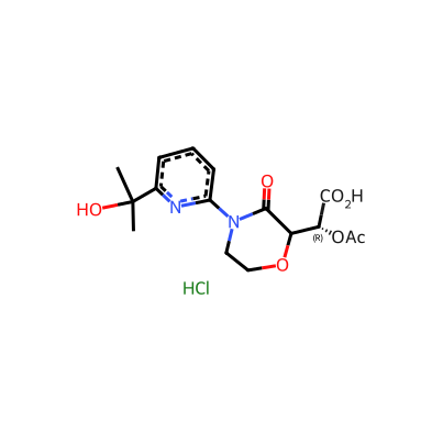 CC(=O)O[C@@H](C(=O)O)C1OCCN(c2cccc(C(C)(C)O)n2)C1=O.Cl